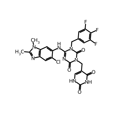 Cc1nc2cc(Cl)c(Nc3nc(=O)n(Cc4c[nH]c(=O)[nH]c4=O)c(=O)n3Cc3cc(F)c(F)c(F)c3)cc2n1C